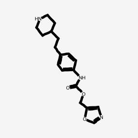 O=C(Nc1ccc(CCC2CCNCC2)cc1)OCc1cnco1